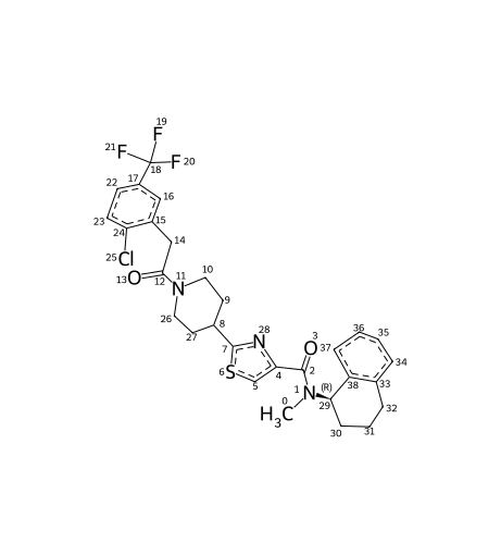 CN(C(=O)c1csc(C2CCN(C(=O)Cc3cc(C(F)(F)F)ccc3Cl)CC2)n1)[C@@H]1CCCc2ccccc21